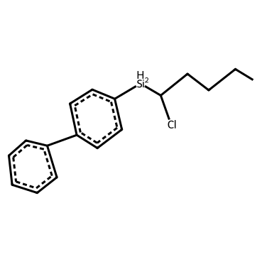 CCCCC(Cl)[SiH2]c1ccc(-c2ccccc2)cc1